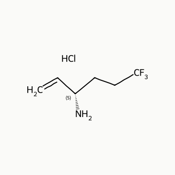 C=C[C@@H](N)CCC(F)(F)F.Cl